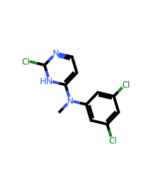 CN(C1=CC=NC(Cl)N1)c1cc(Cl)cc(Cl)c1